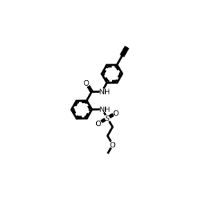 C#Cc1ccc(NC(=O)c2ccccc2NS(=O)(=O)CCOC)cc1